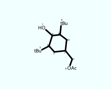 CC(=O)OCC1CC(C(C)(C)C)C(O)C(C(C)(C)C)C1